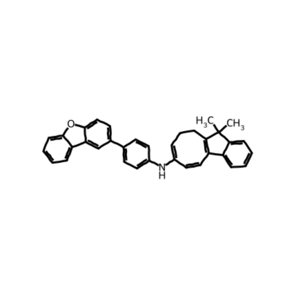 CC1(C)C2=C(/C=C\C(Nc3ccc(-c4ccc5oc6ccccc6c5c4)cc3)=C/CC2)c2ccccc21